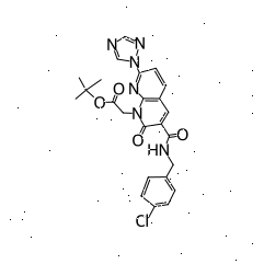 CC(C)(C)OC(=O)Cn1c(=O)c(C(=O)NCc2ccc(Cl)cc2)cc2ccc(-n3cncn3)nc21